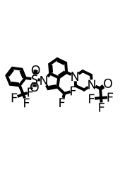 O=C(N1CCN(c2cccc3c2c(C(F)F)cn3S(=O)(=O)c2ccccc2C(F)(F)F)CC1)C(F)(F)F